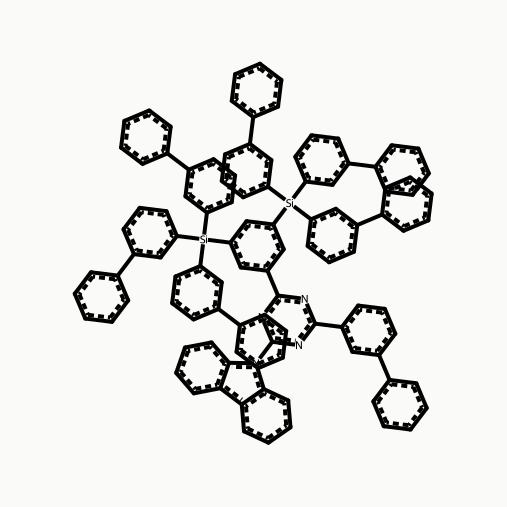 c1ccc(-c2cccc(-c3nc(-c4cc([Si](c5cccc(-c6ccccc6)c5)(c5cccc(-c6ccccc6)c5)c5cccc(-c6ccccc6)c5)cc([Si](c5cccc(-c6ccccc6)c5)(c5cccc(-c6ccccc6)c5)c5cccc(-c6ccccc6)c5)c4)nc(-n4c5ccccc5c5ccccc54)n3)c2)cc1